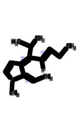 C\C=c1/c(=C(\C(F)=C\CC)C(C)C)ccn1C